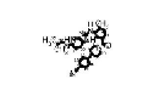 Cc1ccc(C(=O)N2CCC(c3ccc(C#N)cc3)CC2)cc1Nc1nc2nc(NCC(C)C)ccc2[nH]1